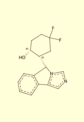 O[C@@H]1CCC(F)(F)C[C@@H]1C1c2ccccc2-c2cncn21